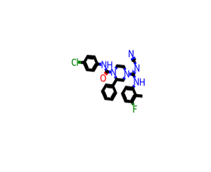 Cc1c(F)cccc1N/C(=N/C#N)N1CCN(C(=O)Nc2ccc(Cl)cc2)C(c2ccccc2)C1